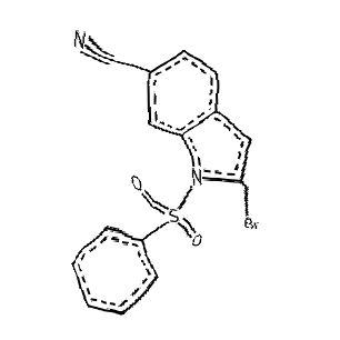 N#Cc1ccc2cc(Br)n(S(=O)(=O)c3ccccc3)c2c1